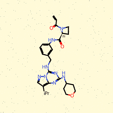 C=CC(=O)N1CC[C@H]1C(=O)Nc1cccc(CNc2nc(NC3CCOCC3)nc3c(C(C)C)cnn23)c1